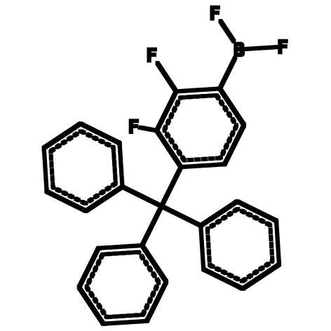 FB(F)c1ccc(C(c2ccccc2)(c2ccccc2)c2ccccc2)c(F)c1F